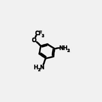 Nc1cc(N)cc(OC(F)(F)F)c1